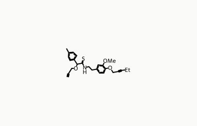 C#CCOC(C(=S)NCCc1ccc(OCC#CCC)c(OC)c1)c1ccc(C)cc1